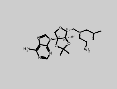 CC(C)CN(CCN)C[C@H]1OC[C@@]2(n3cnc4c(N)ncnc43)OC(C)(C)O[C@H]12